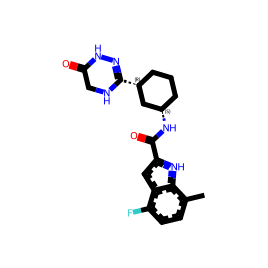 Cc1ccc(F)c2cc(C(=O)N[C@H]3CCC[C@@H](C4=NNC(=O)CN4)C3)[nH]c12